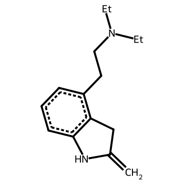 C=C1Cc2c(CCN(CC)CC)cccc2N1